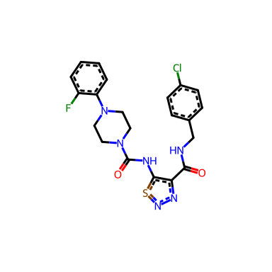 O=C(NCc1ccc(Cl)cc1)c1nnsc1NC(=O)N1CCN(c2ccccc2F)CC1